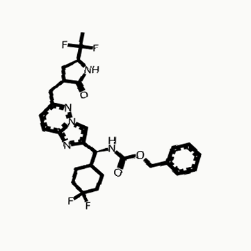 CC(F)(F)C1CC(Cc2ccc3nc([C@@H](NC(=O)OCc4ccccc4)C4CCC(F)(F)CC4)cn3n2)C(=O)N1